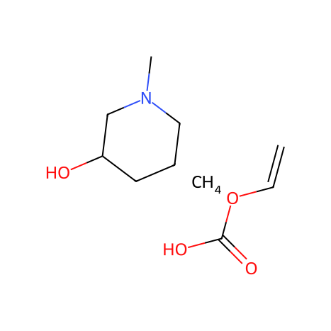 C.C=COC(=O)O.CN1CCCC(O)C1